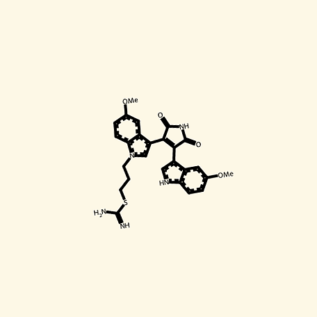 COc1ccc2[nH]cc(C3=C(c4cn(CCCSC(=N)N)c5ccc(OC)cc45)C(=O)NC3=O)c2c1